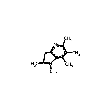 Cc1nc2c(c(C)c1C)N(C)C(C)C2